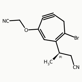 C[C@H](CC#N)C1=C(Br)CC#CC(OCC#N)=C1